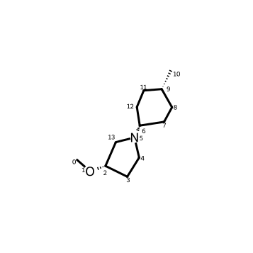 CO[C@H]1CCN([C@H]2CC[C@@H](C)CC2)C1